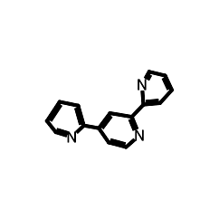 c1ccc(-c2ccnc(-c3ccccn3)c2)nc1